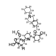 COC[C@@H]1N(c2cccc(-c3cccc(C)c3OCc3ccc4c(c3)CCN(C3CCCCC3)C4)n2)C[C@H]2C[C@]21C(=O)O